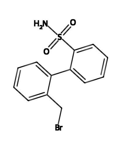 NS(=O)(=O)c1ccccc1-c1ccccc1CBr